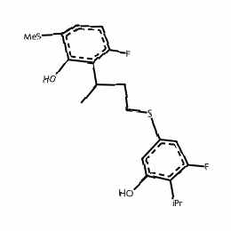 CSc1ccc(F)c(C(C)CCSc2cc(O)c(C(C)C)c(F)c2)c1O